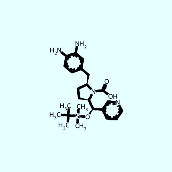 CC(C)(C)[Si](C)(C)O[C@H](c1cccnc1)[C@H]1CC[C@@H](Cc2ccc(N)c(N)c2)N1C(=O)O